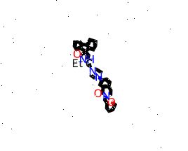 CCNC(=O)C1(CCCCN2CCN(c3ccc4c(c3)C(=O)N(CC3CCCCO3)CC4)CC2)c2ccccc2-c2ccccc21